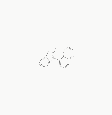 CC1=C(c2cccc3ccccc23)c2ccccc2[C]1